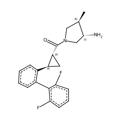 C[C@@H]1CN(C(=O)[C@@H]2C[C@H]2c2ccccc2-c2c(F)cccc2F)C[C@H]1N